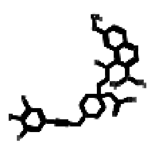 COc1ccc2ncc(N(C)C)c([C@H](F)CCC3(CC(=O)O)CCN(CC#Cc4cc(F)c(F)c(F)c4)CC3)c2c1